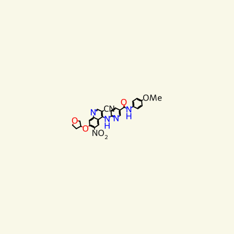 COc1ccc(NC(=O)c2ccc(Nc3c(C#N)cnc4cc(OC5CCOC5)c([N+](=O)[O-])cc34)nc2)cc1